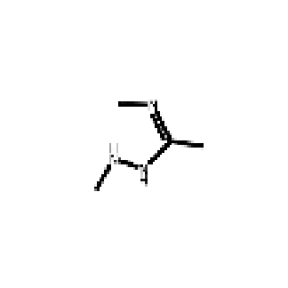 C/N=C(/C)NNC